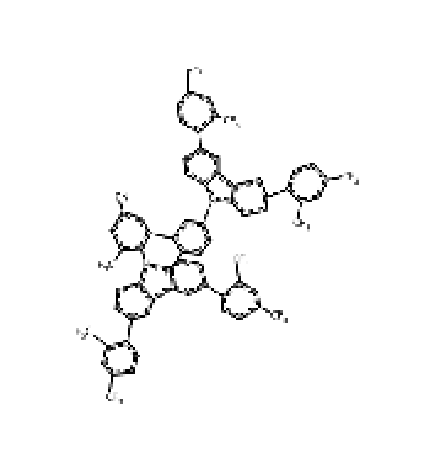 N#Cc1cc(-c2cc(-n3c4ccc(-c5ccc(C(F)(F)F)cc5C(F)(F)F)cc4c4cc(-c5ccc(C(F)(F)F)cc5C(F)(F)F)ccc43)ccc2C#N)c(-n2c3ccc(-c4ccc(C(F)(F)F)cc4C(F)(F)F)cc3c3cc(-c4ccc(C(F)(F)F)cc4C(F)(F)F)ccc32)c(C(F)(F)F)c1